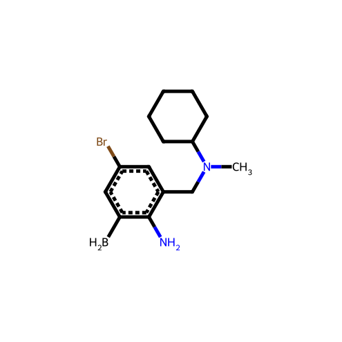 Bc1cc(Br)cc(CN(C)C2CCCCC2)c1N